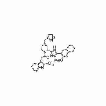 COc1nc2ccccc2cc1-c1cnc([C@@H]2CN(Cc3ccon3)CCN2C(=O)Cn2c(C(F)(F)F)nc3ccccc32)[nH]1